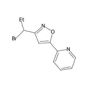 CCC(Br)c1cc(-c2ccccn2)on1